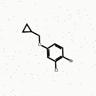 Clc1cc(OCC2CC2)ccc1Br